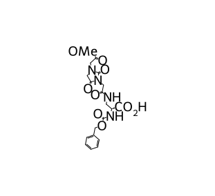 COC(=O)CN1CC(=O)N(CC(=O)NC[C@H](NC(=O)OCc2ccccc2)C(=O)O)C1=O